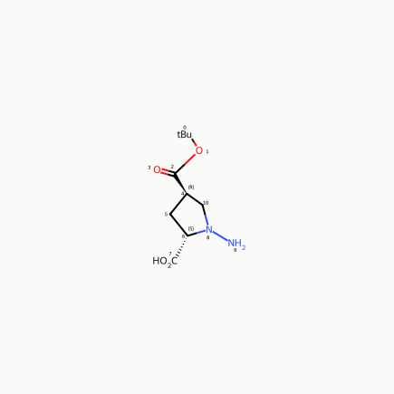 CC(C)(C)OC(=O)[C@@H]1C[C@@H](C(=O)O)N(N)C1